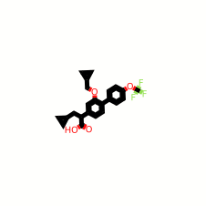 O=C(O)C(CC1CC1)c1ccc(-c2ccc(OC(F)(F)F)cc2)c(OCC2CC2)c1